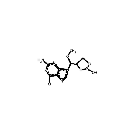 COC(C1COP(O)O1)n1cnc2c(Cl)nc(N)nc21